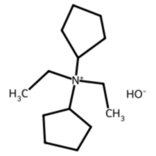 CC[N+](CC)(C1CCCC1)C1CCCC1.[OH-]